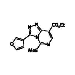 CCOC(=O)c1cnc(SC)n2c(-c3ccoc3)nnc12